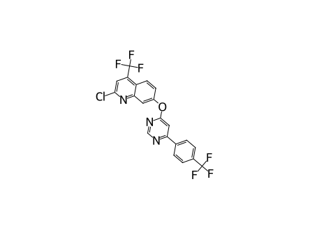 FC(F)(F)c1ccc(-c2cc(Oc3ccc4c(C(F)(F)F)cc(Cl)nc4c3)ncn2)cc1